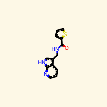 O=C(NCc1c[nH]c2ncccc12)c1cccs1